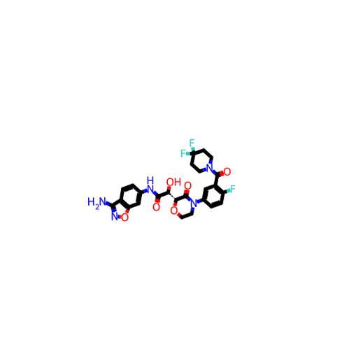 Nc1noc2cc(NC(=O)C(O)[C@H]3OCCN(c4ccc(F)c(C(=O)N5CCC(F)(F)CC5)c4)C3=O)ccc12